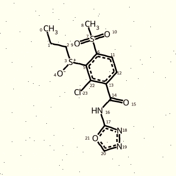 CCC[S+]([O-])c1c(S(C)(=O)=O)ccc(C(=O)Nc2nnco2)c1Cl